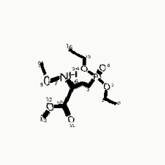 CCOP(=O)(CC(NOC)C(=O)OC)OCC